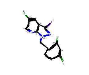 Fc1ccc(Cn2nc(I)c3cc(F)cnc32)c(F)c1